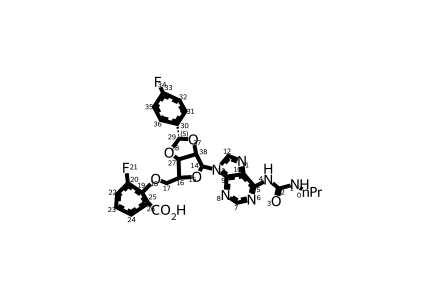 CCCNC(=O)Nc1ncnc2c1ncn2C1OC(COc2c(F)cccc2C(=O)O)C2O[C@H](c3ccc(F)cc3)OC21